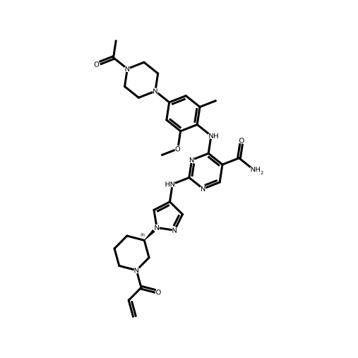 C=CC(=O)N1CCC[C@@H](n2cc(Nc3ncc(C(N)=O)c(Nc4c(C)cc(N5CCN(C(C)=O)CC5)cc4OC)n3)cn2)C1